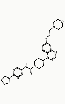 O=C(Nc1ccc(N2CCCC2)nc1)N1CCC(c2ncnc3cc(OCCN4CCOCC4)ccc23)CC1